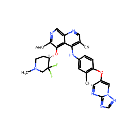 COc1ncc2ncc(C#N)c(Nc3ccc(Oc4cnc5ncnn5c4)c(C)c3)c2c1O[C@H]1CCN(C)CC1(F)F